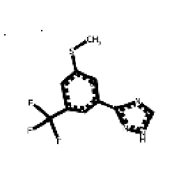 CSc1cc(-c2nc[nH]n2)cc(C(F)(F)F)c1